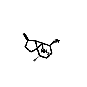 C=C1CCC23C1[C@]2(N)[C@@H](C(C)C)CC[C@@H]3C